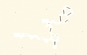 CC(O)(C=C[C@@H]1CCC(=O)[C@@H]1SCCCSCC(=O)O)CCc1ccc2ccccc2c1